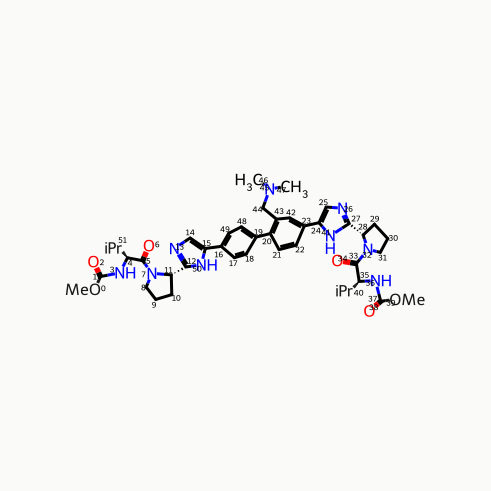 COC(=O)N[C@H](C(=O)N1CCC[C@H]1c1ncc(-c2ccc(-c3ccc(-c4cnc([C@@H]5CCCN5C(=O)[C@@H](NC(=O)OC)C(C)C)[nH]4)cc3CN(C)C)cc2)[nH]1)C(C)C